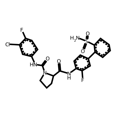 NS(=O)(=O)c1ccccc1-c1ccc(NC(=O)C2CCCN2C(=O)Nc2ccc(F)c(Cl)c2)c(F)c1